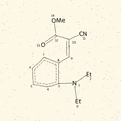 CCN(CC)c1ccccc1C=C(C#N)C(=O)OC